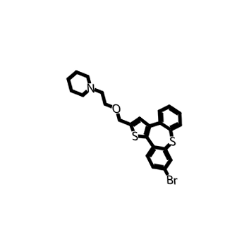 Brc1ccc2c(c1)Sc1ccccc1-c1cc(COCCN3CCCCC3)sc1-2